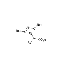 CCC(C(C)=O)C(=O)O.CCC(C)[O][Al][O]C(C)CC